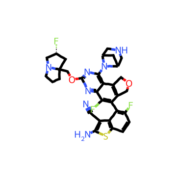 N#Cc1c(N)sc2ccc(F)c(-c3c4c(c5c(N6C7CNCC6C7)nc(OCC67CCCN6C[C@H](F)C7)nc5c3F)COC4)c12